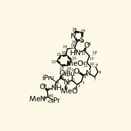 CCC(C)C([C@@H](CC(=O)N1CCC[C@H]1[C@H](OC)[C@@H](C)C(=O)N[C@@H](Cc1ccccc1)c1nccs1)OC)N(C)C(=O)[C@@H](NC(=O)C(NC)C(C)C)C(C)C